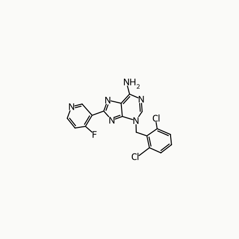 Nc1ncn(Cc2c(Cl)cccc2Cl)c2nc(-c3cnccc3F)nc1-2